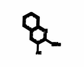 CSc1nc2ccccc2cc1C(C)=O